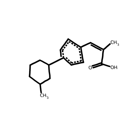 CC(=Cc1ccc(C2CCCC(C)C2)cc1)C(=O)O